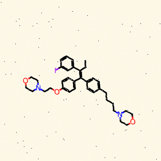 CC/C(=C(\c1ccc(CCCCN2CCOCC2)cc1)c1ccc(OCCN2CCOCC2)cc1)c1cccc(I)c1